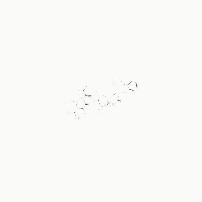 CC[C@H](C)[C@@H]([C@@H](CC(=O)N1CCC[C@H]1[C@H](OC)[C@@H](C)C(=O)N(C)CCc1ccccc1N)OC)N(C)C(=O)[C@@H](C(C)C)C(N)[C@H](C(C)C)N(C)C